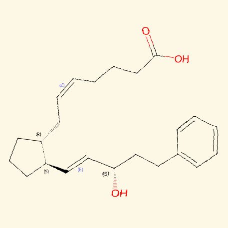 O=C(O)CCC/C=C\C[C@H]1CCC[C@@H]1/C=C/[C@@H](O)CCc1ccccc1